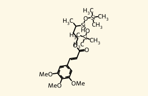 COc1cc(C=CC(=O)OCCC(C)[SiH](O[Si](C)(C)C)O[Si](C)(C)C)cc(OC)c1OC